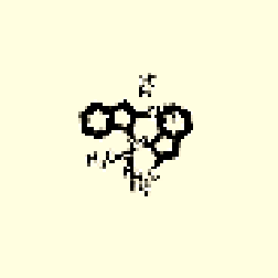 CC1=Cc2ccccc2[CH]1[Zr+2]([CH]1C(C)=Cc2ccccc21)[SiH](C)C.[H-].[H-]